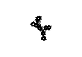 C1=Cc2c(cc3c(oc4cc(N(c5ccc(-c6ccccc6)cc5)c5ccc6ccccc6c5)ccc43)c2-c2nc3ccccc3o2)CC1